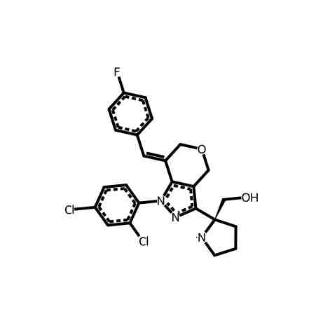 OC[C@@]1(c2nn(-c3ccc(Cl)cc3Cl)c3c2COC/C3=C\c2ccc(F)cc2)CCC[N]1